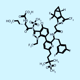 CC(C)(CCc1ccc(-c2ccc(Cl)c3c(N(C(=O)[C@H](CCC(=O)O)NC(=O)C(=O)O)S(C)(=O)=O)nn(CC(F)(F)F)c23)c([C@H](Cc2cc(F)cc(F)c2)NC(=O)Cn2nc(C(F)(F)F)c3c2C(F)(F)C2C[C@H]32)n1)S(C)(=O)=O